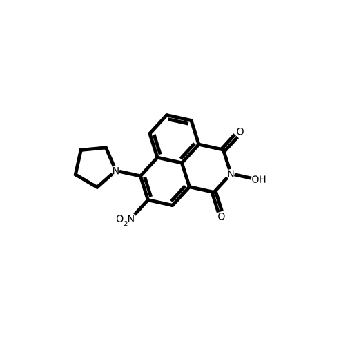 O=C1c2cccc3c(N4CCCC4)c([N+](=O)[O-])cc(c23)C(=O)N1O